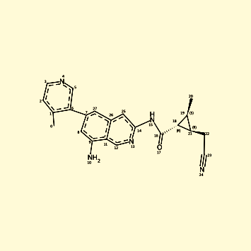 Cc1ccncc1-c1cc(N)c2cnc(NC(=O)[C@@H]3[C@@H](C)[C@H]3CC#N)cc2c1